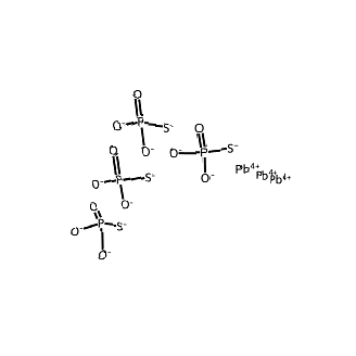 O=P([O-])([O-])[S-].O=P([O-])([O-])[S-].O=P([O-])([O-])[S-].O=P([O-])([O-])[S-].[Pb+4].[Pb+4].[Pb+4]